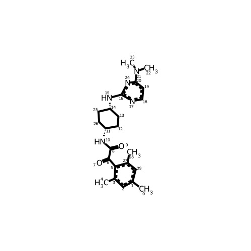 Cc1cc(C)c(C(=O)C(=O)N[C@H]2CC[C@@H](Nc3nccc(N(C)C)n3)CC2)c(C)c1